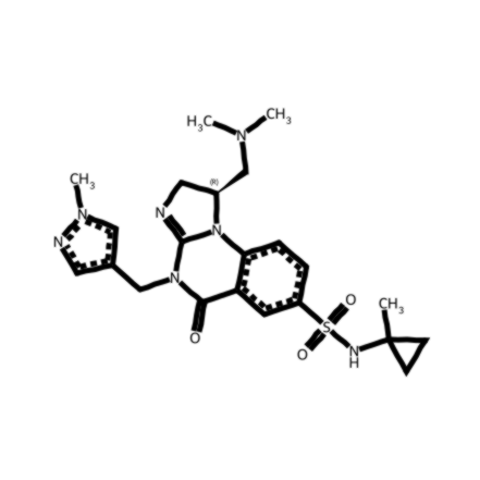 CN(C)C[C@@H]1CN=C2N(Cc3cnn(C)c3)C(=O)c3cc(S(=O)(=O)NC4(C)CC4)ccc3N21